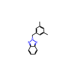 Cc1cc(C)cc(Cn2nc3ccccc3n2)c1